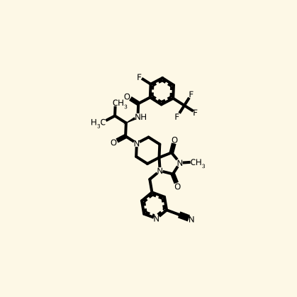 CC(C)[C@@H](NC(=O)c1cc(C(F)(F)F)ccc1F)C(=O)N1CCC2(CC1)C(=O)N(C)C(=O)N2Cc1ccnc(C#N)c1